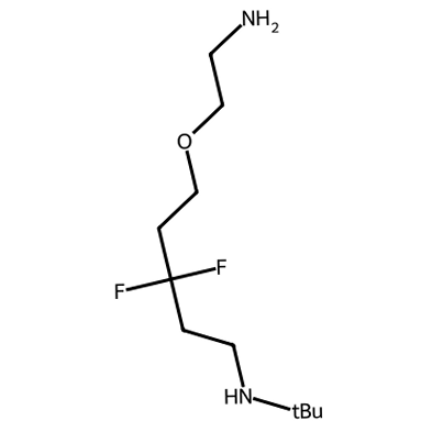 CC(C)(C)NCCC(F)(F)CCOCCN